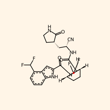 N#C[C@@H](C[C@@H]1CCNC1=O)NC(=O)[C@H]1[C@@H]2CC[C@@H](CC2(F)F)N1C(=O)c1cc2c(C(F)F)cccc2[nH]1